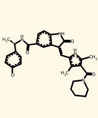 Cc1[nH]c(/C=C2\C(=O)Nc3ccc(C(=O)N[C@H](C)c4ccc(Cl)cc4)cc32)c(C)c1C(=O)N1CCCCC1